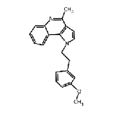 COc1cccc(CCn2ccc3c(C)nc4ccccc4c32)c1